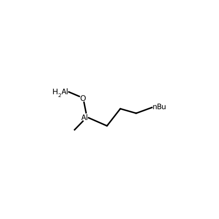 CCCCCC[CH2][Al]([CH3])[O][AlH2]